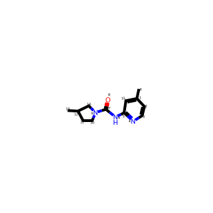 Cc1ccnc(NC(=O)N2CCC(C)C2)c1